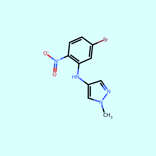 Cn1cc(Nc2cc(Br)ccc2[N+](=O)[O-])cn1